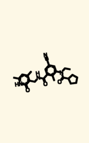 CCN(C(=O)C1CCCC1)c1cc(C#N)cc(C(=O)NCc2c(C)cc(C)[nH]c2=O)c1C